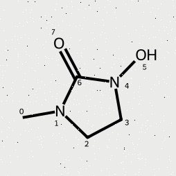 CN1CCN(O)C1=O